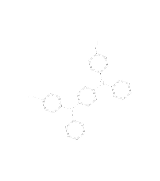 Clc1ccc(N(c2ccccc2)c2ccc(N(c3ccccc3)c3ccc(Cl)cc3)cc2)cc1